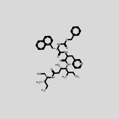 CCC(C)[C@H](NC(=O)C(Cc1cccnc1)NC(=O)[C@H](Cc1cccc2ccccc12)NC(=O)OCc1ccccc1)[C@@H](O)CC(=O)N[C@H](CO)[C@@H](C)CC